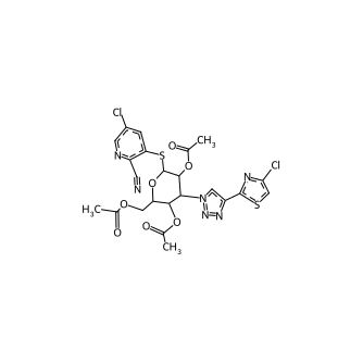 CC(=O)OCC1OC(Sc2cc(Cl)cnc2C#N)C(OC(C)=O)C(n2cc(-c3nc(Cl)cs3)nn2)C1OC(C)=O